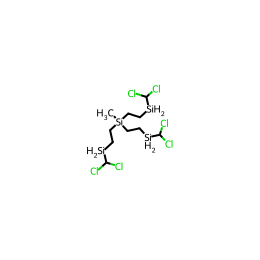 C[Si](CC[SiH2]C(Cl)Cl)(CC[SiH2]C(Cl)Cl)CC[SiH2]C(Cl)Cl